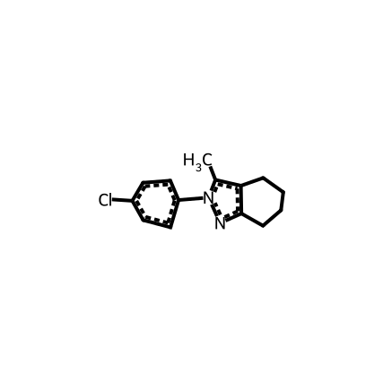 Cc1c2c(nn1-c1ccc(Cl)cc1)CCCC2